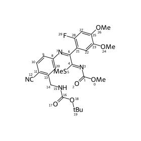 COC(=O)/N=C(\SC)C(=Nc1ccc(C#N)c(CNC(=O)OC(C)(C)C)c1)c1cc(OC)c(OC)cc1F